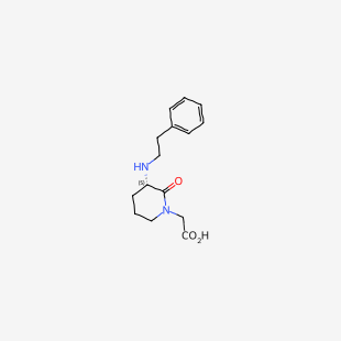 O=C(O)CN1CCC[C@H](NCCc2ccccc2)C1=O